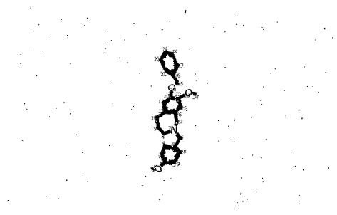 COc1ccc(CN2CCCc3cc(OCc4ccccc4)c(OC)cc3C2)cc1